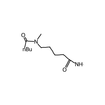 CCCCC(=O)N(C)CCCCC([NH])=O